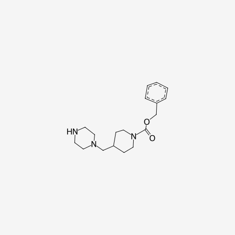 O=C(OCc1ccccc1)N1CCC(CN2CCNCC2)CC1